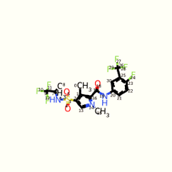 Cc1c(S(=O)(=O)N[C@H](C)C(F)(F)F)cn(C)c1C(=O)Nc1ccc(F)c(C(F)(F)F)c1